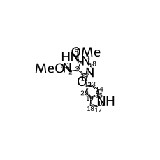 CON=Cc1c(NOC)ncnc1Oc1ccc2[nH]ccc2c1